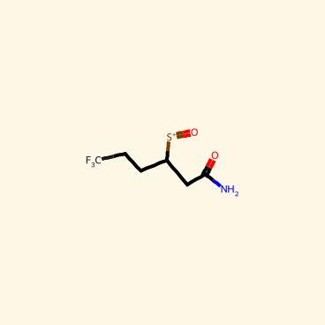 NC(=O)CC(CCC(F)(F)F)[S+]=O